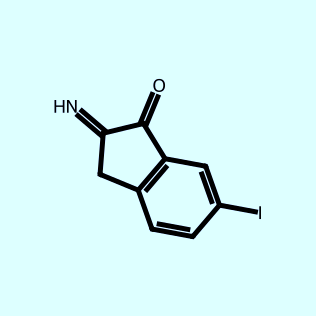 N=C1Cc2ccc(I)cc2C1=O